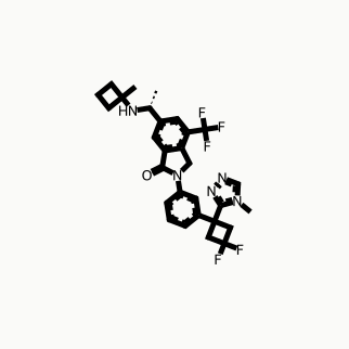 C[C@@H](NC1(C)CCC1)c1cc2c(c(C(F)(F)F)c1)CN(c1cccc(C3(c4nncn4C)CC(F)(F)C3)c1)C2=O